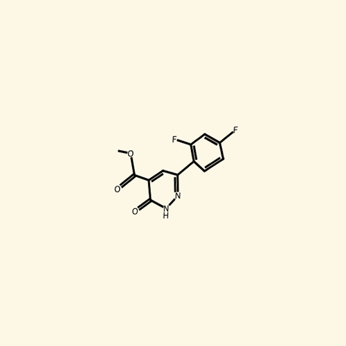 COC(=O)c1cc(-c2ccc(F)cc2F)n[nH]c1=O